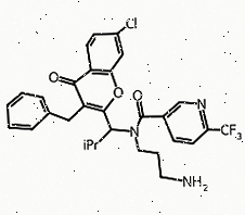 CC(C)C(c1oc2cc(Cl)ccc2c(=O)c1Cc1ccccc1)N(CCCN)C(=O)c1ccc(C(F)(F)F)nc1